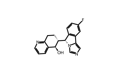 O[C@H]1c2cccnc2CC[C@@H]1[C@@H]1c2ccc(F)cc2-c2cncn21